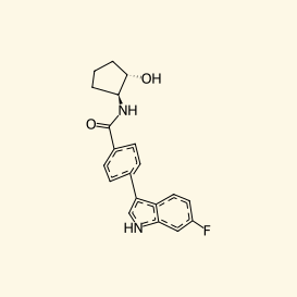 O=C(N[C@H]1CCC[C@@H]1O)c1ccc(-c2c[nH]c3cc(F)ccc23)cc1